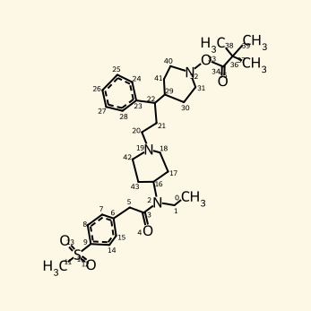 CCN(C(=O)Cc1ccc(S(C)(=O)=O)cc1)C1CCN(CCC(c2ccccc2)C2CCN(OC(=O)C(C)(C)C)CC2)CC1